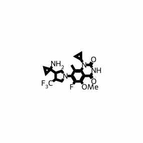 COc1c(F)c(N2CC(C(F)(F)F)C(C3(N)CC3)C2)c(C)c2c1c(=O)[nH]c(=O)n2C1CC1